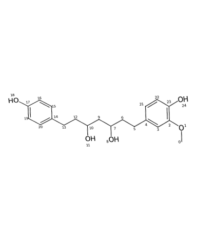 COc1cc(CCC(O)CC(O)CCc2ccc(O)cc2)ccc1O